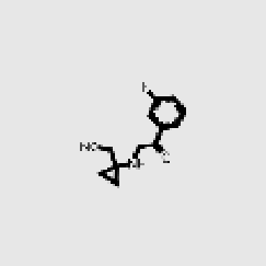 N#CCC1(NCC(=O)c2cccc(F)c2)CC1